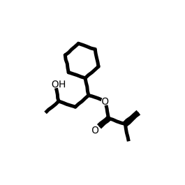 C=C(C)C(=O)OC(CC(C)O)C1CCCCC1